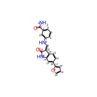 NC(=O)c1cccc(N/C=C2\C(=O)Nc3cc(-c4ccco4)ccc32)c1